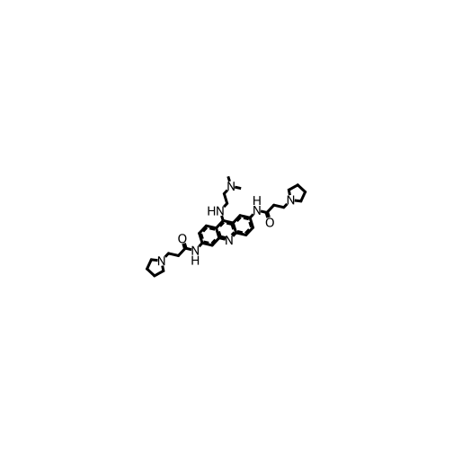 CN(C)CCNc1c2ccc(NC(=O)CCN3CCCC3)cc2nc2ccc(NC(=O)CCN3CCCC3)cc12